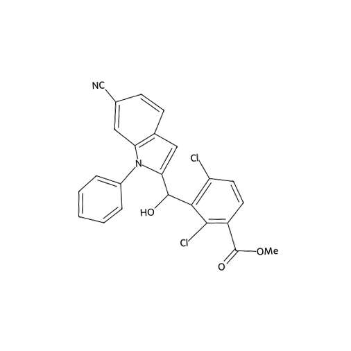 COC(=O)c1ccc(Cl)c(C(O)c2cc3ccc(C#N)cc3n2-c2ccccc2)c1Cl